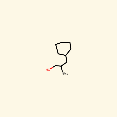 CNC(CO)CC1CCCCC1